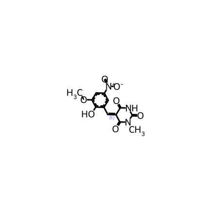 COc1cc([N+](=O)[O-])cc(/C=C2\C(=O)NC(=O)N(C)C2=O)c1O